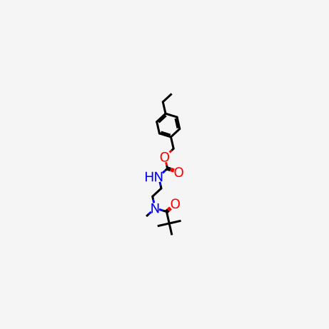 CCc1ccc(COC(=O)NCCN(C)C(=O)C(C)(C)C)cc1